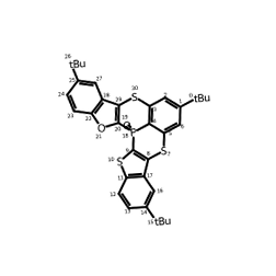 CC(C)(C)c1cc2c3c(c1)Sc1c(sc4ccc(C(C)(C)C)cc14)P3(=O)c1oc3ccc(C(C)(C)C)cc3c1S2